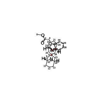 COC(=O)Cc1cn([C@H]2C[C@H]3CCC[C@@H](C2)N3[C@H]2C[C@@H]3CCC[C@@H](C3)C2)c2ccccc12